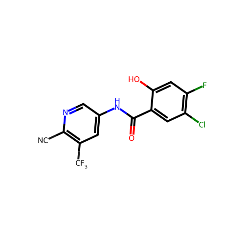 N#Cc1ncc(NC(=O)c2cc(Cl)c(F)cc2O)cc1C(F)(F)F